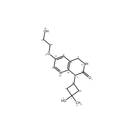 CC1(O)CC(N2C(=O)NCc3cc(OCCO)cnc32)C1